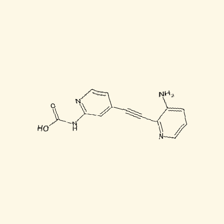 Nc1cccnc1C#Cc1ccnc(NC(=O)O)c1